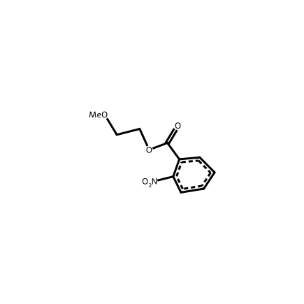 COCCOC(=O)c1ccccc1[N+](=O)[O-]